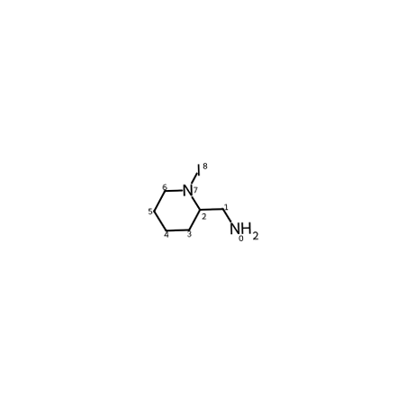 NCC1CCCCN1I